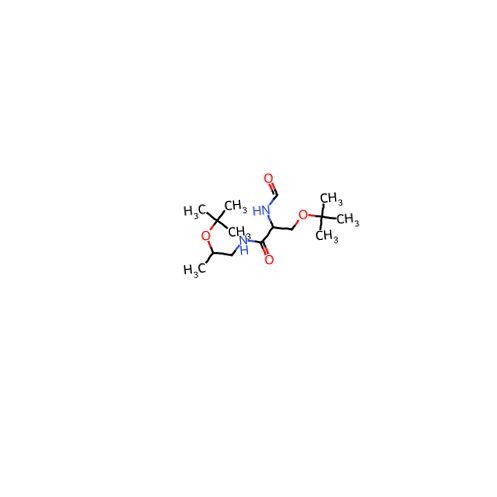 CC(CNC(=O)C(COC(C)(C)C)NC=O)OC(C)(C)C